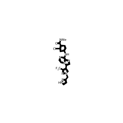 CNC(=O)c1ccc(Nc2nccn3c(-c4cn(Cc5cc[nH]n5)nc4C(F)(F)F)cnc23)cc1Cl